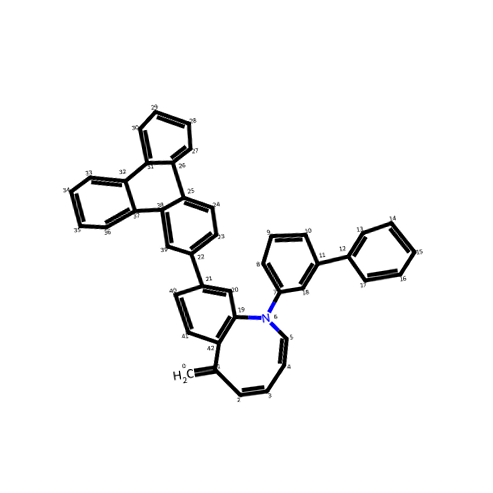 C=C1/C=C\C=C/N(c2cccc(-c3ccccc3)c2)c2cc(-c3ccc4c5ccccc5c5ccccc5c4c3)ccc21